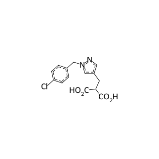 O=C(O)C(Cc1cnn(Cc2ccc(Cl)cc2)c1)C(=O)O